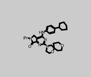 CC(C)N1Cc2c(Nc3ccc(C4CCCCC4)cc3)nc(N3CCOC4(CCOCC4)C3)nc2C1=O